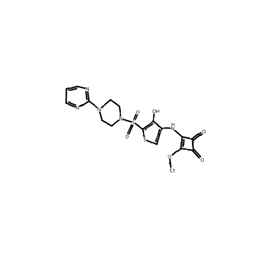 CCOc1c(Nc2csc(S(=O)(=O)N3CCN(c4ncccn4)CC3)c2O)c(=O)c1=O